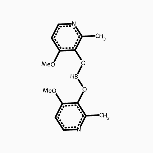 COc1ccnc(C)c1OBOc1c(OC)ccnc1C